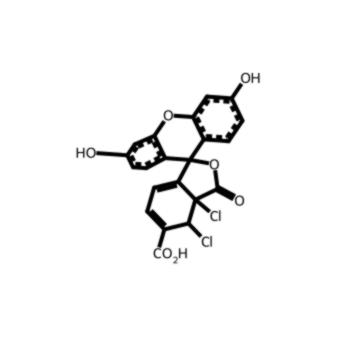 O=C(O)C1=CC=C2C3(OC(=O)C2(Cl)C1Cl)c1ccc(O)cc1Oc1cc(O)ccc13